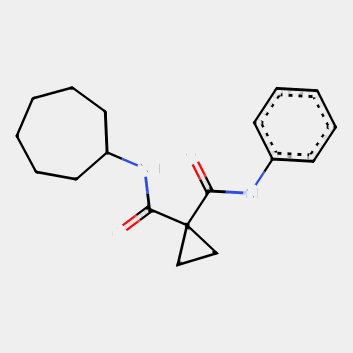 O=C(Nc1ccccc1)C1(C(=O)NC2CCCCCC2)CC1